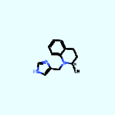 C[C@@H]1CCc2ccccc2N1Cc1c[nH]cn1